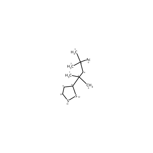 CC(=O)C(C)(C)CC(C)(C)C1CCSS1